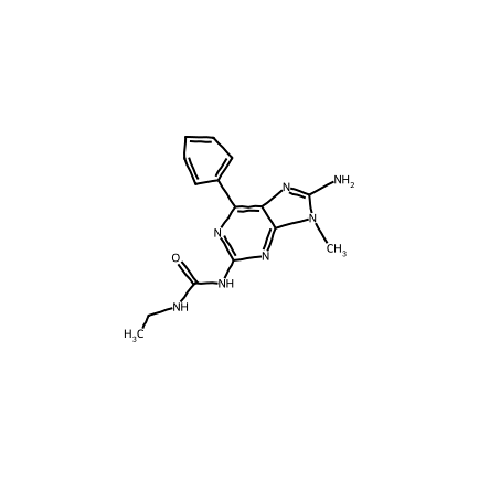 CCNC(=O)Nc1nc(-c2ccccc2)c2nc(N)n(C)c2n1